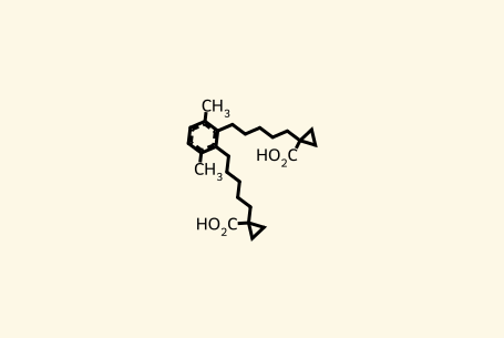 Cc1ccc(C)c(CCCCCC2(C(=O)O)CC2)c1CCCCCC1(C(=O)O)CC1